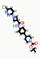 CC(C)(C)OC(=O)N1CCC(c2ccc(NC(=O)C3CN(c4ccc(Cl)nn4)C3)c(F)c2)CC1